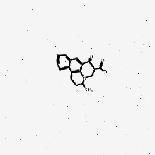 CC1CCc2c3c(cc4ccccc24)C(=O)C(C(=O)[O-])CN31.[K+]